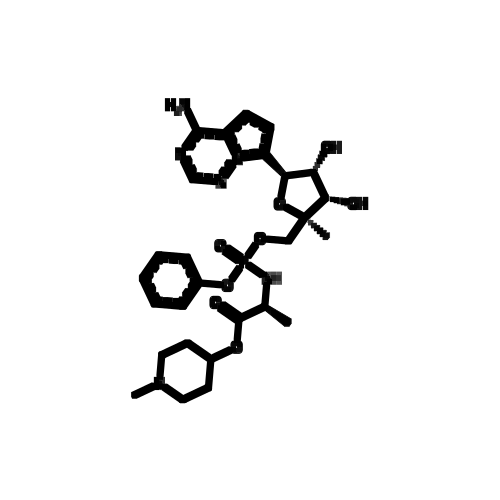 C[C@H](NP(=O)(OC[C@@]1(C)O[C@@H](c2ccc3c(N)ncnn23)[C@H](O)[C@@H]1O)Oc1ccccc1)C(=O)OC1CCN(C)CC1